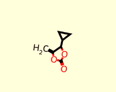 C=C1OC(=O)OC1C1CC1